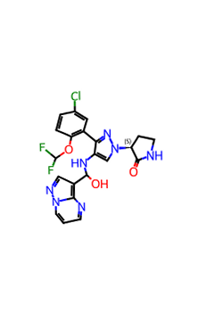 O=C1NCC[C@@H]1n1cc(NC(O)c2cnn3cccnc23)c(-c2cc(Cl)ccc2OC(F)F)n1